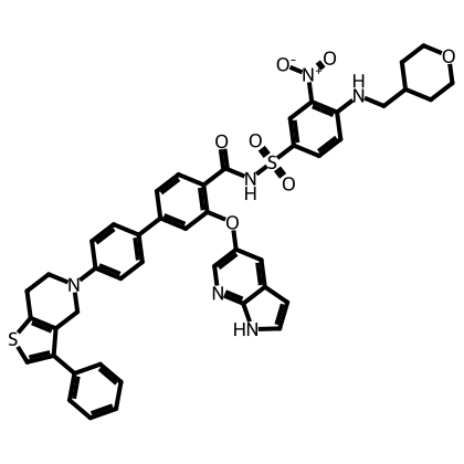 O=C(NS(=O)(=O)c1ccc(NCC2CCOCC2)c([N+](=O)[O-])c1)c1ccc(-c2ccc(N3CCc4scc(-c5ccccc5)c4C3)cc2)cc1Oc1cnc2[nH]ccc2c1